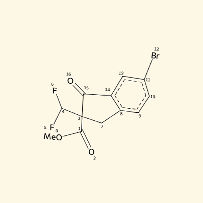 COC(=O)C1(C(F)F)Cc2ccc(Br)cc2C1=O